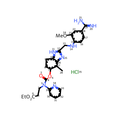 CCOC(=O)CCN(C(=O)Oc1ccc2[nH]c(CNc3ccc(C(=N)N)cc3OC)nc2c1C)c1ccccn1.Cl